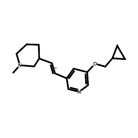 CN1CCCC(/C=C/c2cncc(OCC3CC3)c2)C1